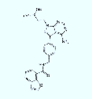 CCCC(O)CCn1nc(-c2ccc(CNC(=O)c3cccc4ncoc34)cc2)c2c(N)ncnc21